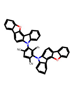 CC(C)c1c(-n2c3ccccc3c3c4oc5ccccc5c4ccc32)c(C#N)cc(C#N)c1-n1c2ccccc2c2c3oc4ccccc4c3ccc21